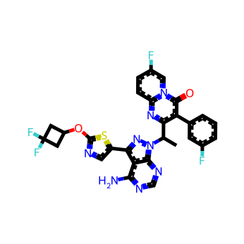 CC(c1nc2ccc(F)cn2c(=O)c1-c1cccc(F)c1)n1nc(-c2cnc(OC3CC(F)(F)C3)s2)c2c(N)ncnc21